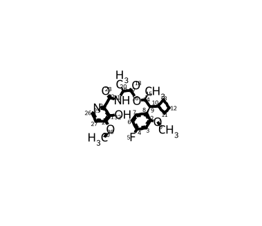 COc1cc(F)ccc1[C@H](C1CCC1)[C@H](C)OC(=O)[C@H](C)NC(=O)c1nccc(OC)c1O